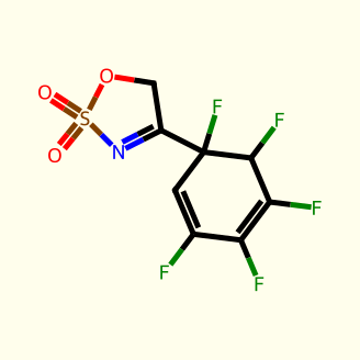 O=S1(=O)N=C(C2(F)C=C(F)C(F)=C(F)C2F)CO1